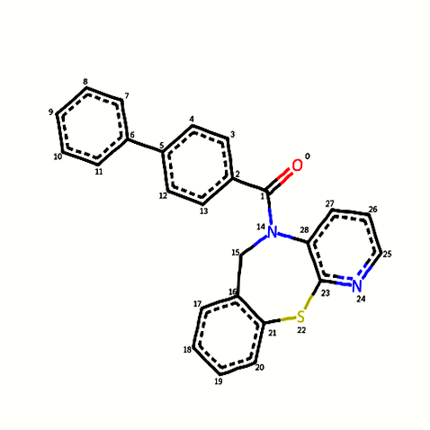 O=C(c1ccc(-c2ccccc2)cc1)N1Cc2ccccc2Sc2ncccc21